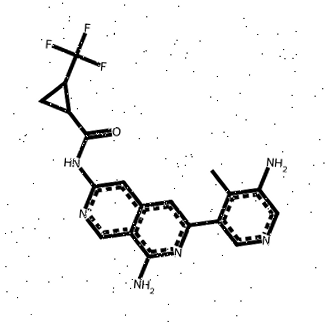 Cc1c(N)cncc1-c1cc2cc(NC(=O)C3CC3C(F)(F)F)ncc2c(N)n1